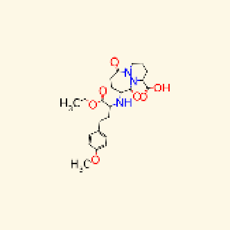 CCOC(=O)C(CCc1ccc(OC)cc1)NC1CCC(=O)N2CCCC(C(=O)O)N2C1=O